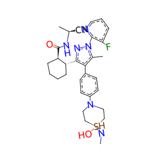 CN=[SH]1(O)CCN(c2ccc(-c3c([C@@H]4CCCC[C@H]4C(=O)N[C@@H](C)C#N)nn(-c4ncccc4F)c3C)cc2)CC1